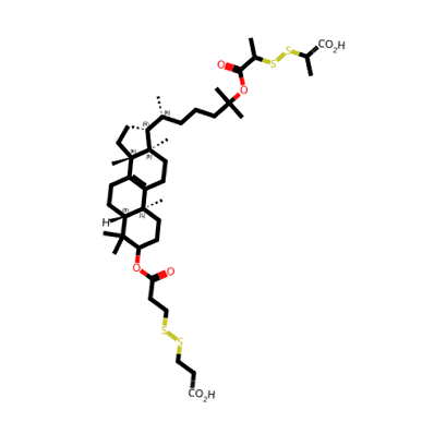 CC(SSC(C)C(=O)OC(C)(C)CCC[C@@H](C)[C@H]1CC[C@@]2(C)C3=C(CC[C@]12C)[C@@]1(C)CCC(OC(=O)CCSSCCC(=O)O)C(C)(C)[C@@H]1CC3)C(=O)O